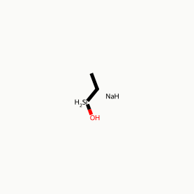 CC[SiH2]O.[NaH]